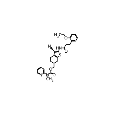 CCOc1ccccc1CCC(=O)Nc1sc2c(c1C#N)CCC(COC(=O)N(C)c1ccccn1)C2